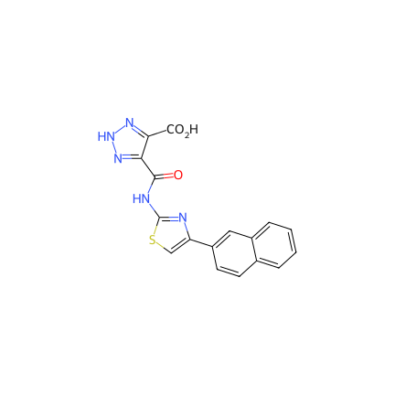 O=C(O)c1n[nH]nc1C(=O)Nc1nc(-c2ccc3ccccc3c2)cs1